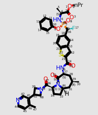 CCCOC(=O)[C@H](C)N[P@](=O)(Oc1ccccc1)[C@@H](F)c1ccc2sc(C(=O)N[C@H]3C[C@@H](C)C[C@H]4CC[C@@H](C(=O)N5CC(c6cnccc6C)C5)N4C3=O)cc2c1